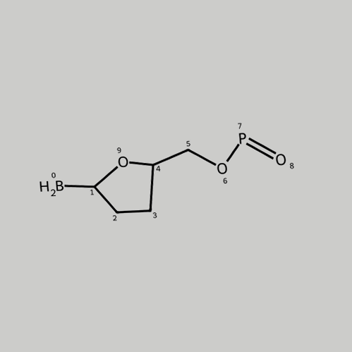 BC1CCC(COP=O)O1